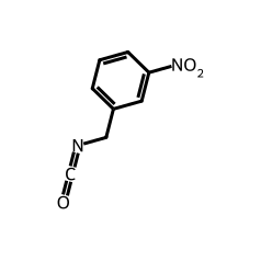 O=C=NCc1cccc([N+](=O)[O-])c1